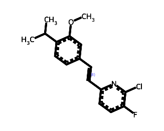 COc1cc(/C=C/c2ccc(F)c(Cl)n2)ccc1C(C)C